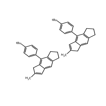 CC1=Cc2c(cc3c(c2-c2ccc(C(C)(C)C)cc2)CCC3)C1.CC1=Cc2cc3c(c(-c4ccc(C(C)(C)C)cc4)c2C1)CCC3